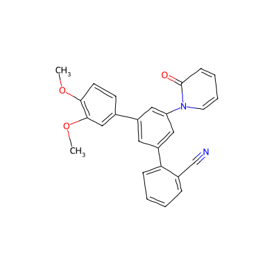 COc1ccc(-c2cc(-c3ccccc3C#N)cc(-n3ccccc3=O)c2)cc1OC